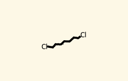 ClCC[CH]CCCCCl